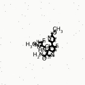 COCc1ccc(-c2cc3c(NC(C)c4nn(C)cc4F)c(C(N)=O)cnc3cc2F)cn1